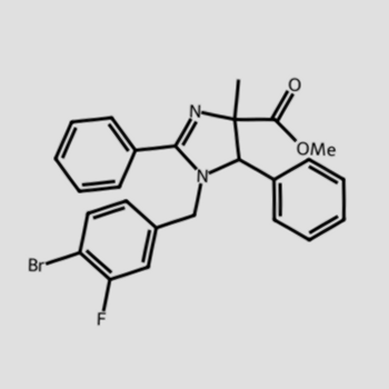 COC(=O)C1(C)N=C(c2ccccc2)N(Cc2ccc(Br)c(F)c2)C1c1ccccc1